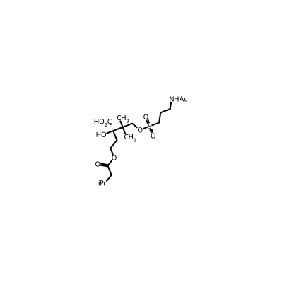 CC(=O)NCCCS(=O)(=O)OCC(C)(C)[C@](O)(CCOC(=O)CC(C)C)C(=O)O